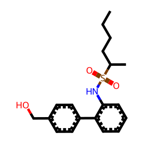 CCCCC(C)S(=O)(=O)Nc1ccccc1-c1ccc(CO)cc1